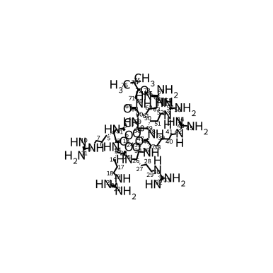 CC(=O)N[C@@H](CCCNC(=N)N)C(=O)N[C@@H](CCCNC(=N)N)C(=O)N[C@@H](CCCNC(=N)N)C(=O)N[C@@H](CCCCNC(=N)N)C(=O)N[C@@H](CCCNC(=N)N)C(=O)N[C@@H](CCCNC(=N)N)C(=O)NCC(=O)C(C)C